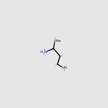 [CH2]CCCCC(N)SC